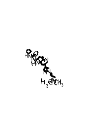 CN(C)CCCn1cc(-c2cnc3ccc(NC(=O)NC4CCCC4)nc3c2)cn1